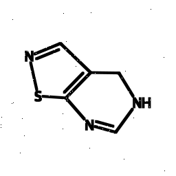 C1=Nc2sncc2CN1